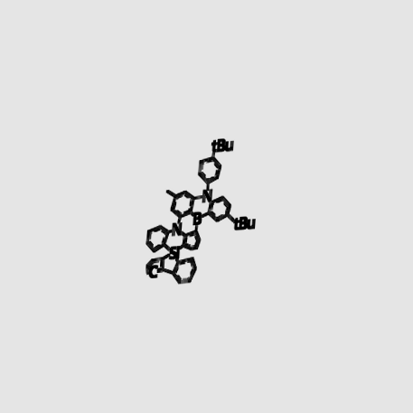 Cc1cc2c3c(c1)N1c4ccccc4[Si]4(c5ccccc5-c5ccccc54)c4cccc(c41)B3c1cc(C(C)(C)C)ccc1N2c1ccc(C(C)(C)C)cc1